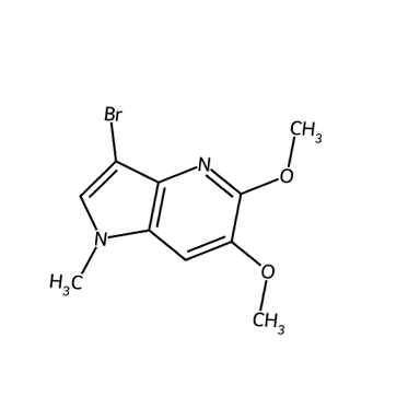 COc1cc2c(nc1OC)c(Br)cn2C